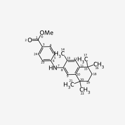 COC(=O)c1ccc(Nc2cc3c(cc2C)C(C)(C)CCC3(C)C)cc1